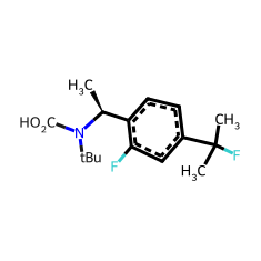 C[C@@H](c1ccc(C(C)(C)F)cc1F)N(C(=O)O)C(C)(C)C